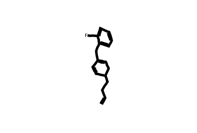 C=CCCC1C=CC(Cc2ccccc2F)=CC1